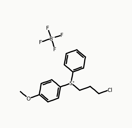 COc1ccc([S+](CCCCl)c2ccccc2)cc1.F[B-](F)(F)F